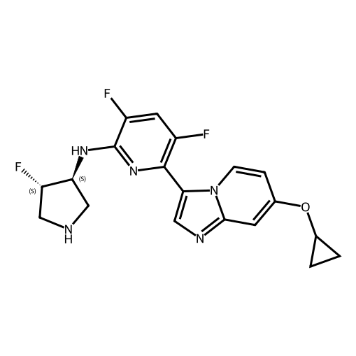 Fc1cc(F)c(-c2cnc3cc(OC4CC4)ccn23)nc1N[C@H]1CNC[C@@H]1F